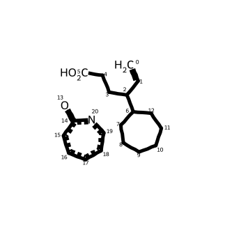 C=CC(CCC(=O)O)C1CCCCCC1.O=c1cccccn1